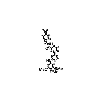 COc1cc(Nc2nccc(N3CCC[C@H](C(=O)NCc4ccc(N(C)C)cc4)C3)n2)cc(OC)c1OC